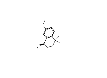 COc1ccc2c(c1)/C(=N/O)CCC2(C)C